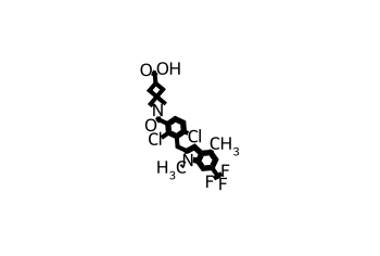 Cc1cc(C(F)(F)F)cc2c1cc(Cc1c(Cl)ccc(C(=O)N3CC4(CC(C(=O)O)C4)C3)c1Cl)n2C